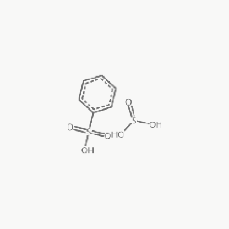 O=S(=O)(O)c1ccccc1.O=S(O)O